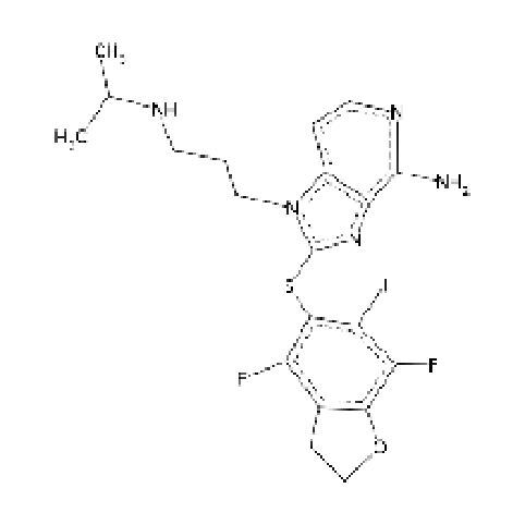 CC(C)NCCCn1c(Sc2c(F)c3c(c(F)c2I)OCC3)nc2c(N)nccc21